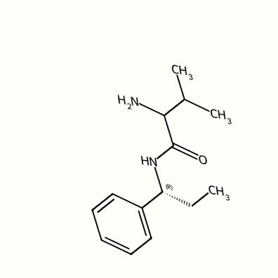 CC[C@@H](NC(=O)C(N)C(C)C)c1ccccc1